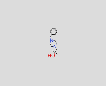 CC(C)(O)CN1CCN(Cc2ccccc2)CC1